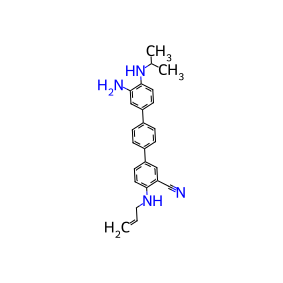 C=CCNc1ccc(-c2ccc(-c3ccc(NC(C)C)c(N)c3)cc2)cc1C#N